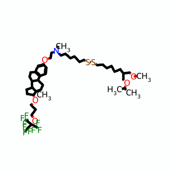 COCC(CCCCCCSSCCCCCCN(C)CCOc1ccc2c(c1)CCC1C2CCC2(C)C(OCCCOC(C(F)(F)F)(C(F)(F)F)C(F)(F)F)CCC12)COC(C)C